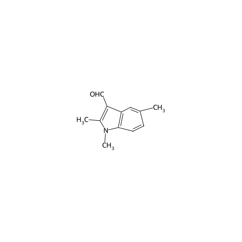 Cc1ccc2c(c1)c(C=O)c(C)n2C